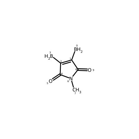 BC1=C(B)C(=O)N(C)C1=O